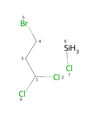 ClC(Cl)CCBr.[SiH3]Cl